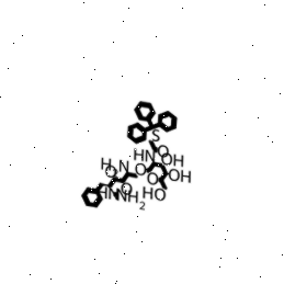 NN[C@@H](Cc1ccccc1)C(=O)C(=O)[C@@H](N)COC1OC(CO)[C@@H](O)C(O)[C@@H]1NC(=O)CSC(c1ccccc1)(c1ccccc1)c1ccccc1